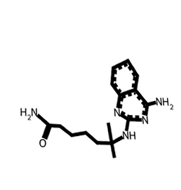 CC(C)(CCCCC(N)=O)Nc1nc(N)c2ccccc2n1